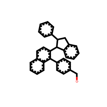 [O]Cc1ccc(-c2c(C3c4ccccc4CC3c3ccccc3)ccc3ccccc23)cc1